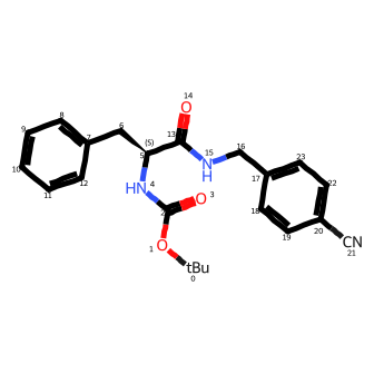 CC(C)(C)OC(=O)N[C@@H](Cc1ccccc1)C(=O)NCc1ccc(C#N)cc1